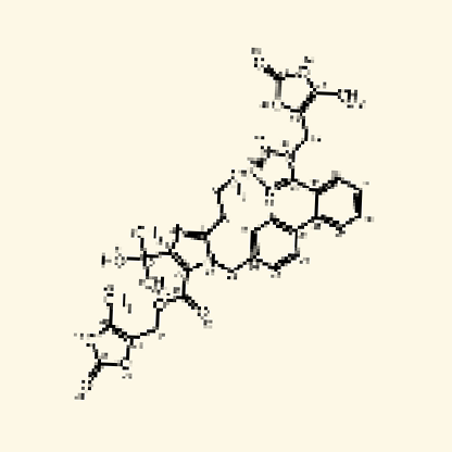 CCCc1nc(C(C)(C)O)c(C(=O)OCc2oc(=O)oc2C)n1Cc1ccc(-c2ccccc2-c2nnnn2Cc2oc(=O)oc2C)cc1